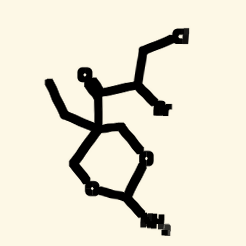 CCC1(C(=O)C(Br)CCl)COC(N)OC1